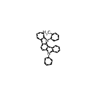 Cc1ccccc1-n1c2ccccc2c2ccc3c(c4ccccc4n3-c3ccccc3)c21